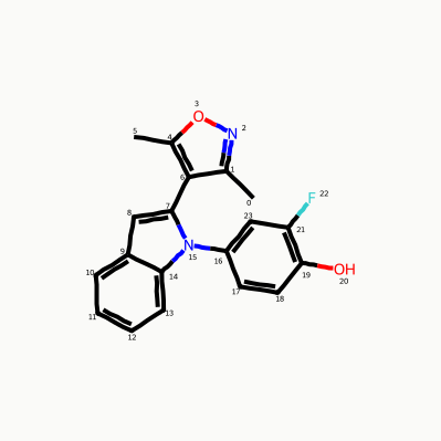 Cc1noc(C)c1-c1cc2ccccc2n1-c1ccc(O)c(F)c1